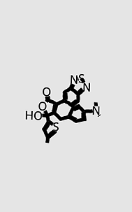 Cc1csc(C2(O)OC(=O)C(c3ccc4nsnc4c3)=C2Cc2ccc(N(C)C)cc2)c1